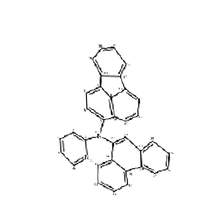 c1ccc(N(c2ccc3c4c(cccc24)-c2ccccc2-3)c2cc3ccccc3c3ccccc23)nc1